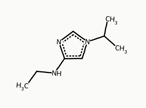 CCNc1cn(C(C)C)cn1